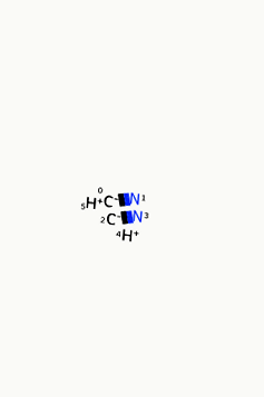 [C-]#N.[C-]#N.[H+].[H+]